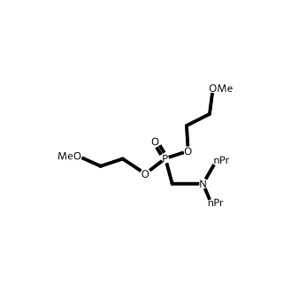 CCCN(CCC)CP(=O)(OCCOC)OCCOC